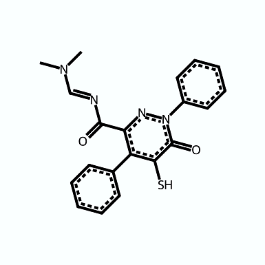 CN(C)C=NC(=O)c1nn(-c2ccccc2)c(=O)c(S)c1-c1ccccc1